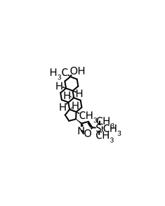 C[C@@]1(O)CC[C@H]2[C@H](CC[C@@H]3[C@@H]2CC[C@]2(C)[C@@H](c4cc([Si](C)(C)C)on4)CC[C@@H]32)C1